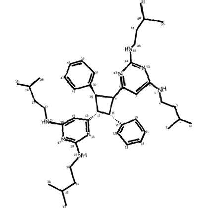 CC(C)CCNc1cc(C2[C@H](c3ccccc3)[C@H](c3cc(NCCC(C)C)nc(NCCC(C)C)n3)[C@H]2c2ccccc2)nc(NCCC(C)C)n1